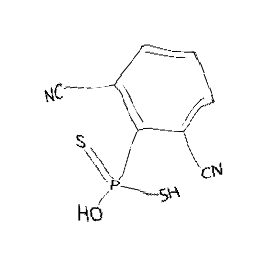 N#Cc1cccc(C#N)c1P(O)(=S)S